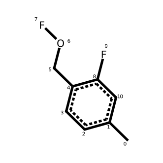 Cc1ccc(COF)c(F)c1